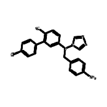 N#Cc1ccc(N(Cc2ccc(N)cc2)n2cnnc2)cc1-c1ccc(Cl)cc1